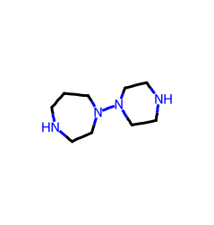 C1CNCCN(N2CCNCC2)C1